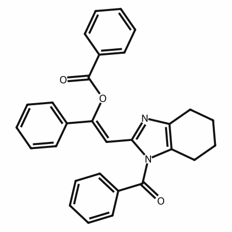 O=C(OC(=Cc1nc2c(n1C(=O)c1ccccc1)CCCC2)c1ccccc1)c1ccccc1